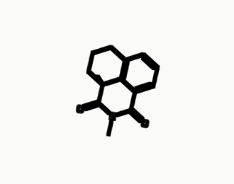 CN1C(=O)c2cccc3c2C(C)(CCC3)C1=O